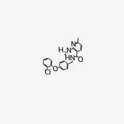 Cc1ccc(C(=O)NCc2ccc(Oc3ccccc3Cl)cc2)c(N)n1